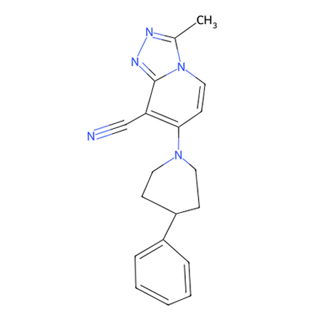 Cc1nnc2c(C#N)c(N3CCC(c4ccccc4)CC3)ccn12